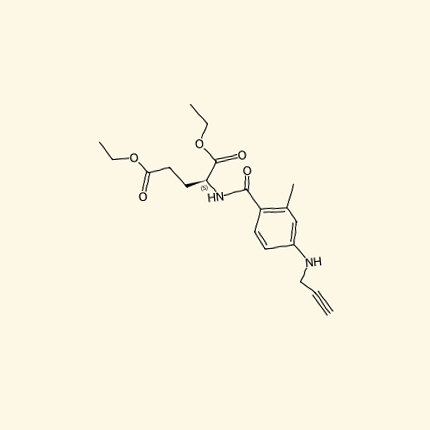 C#CCNc1ccc(C(=O)N[C@@H](CCC(=O)OCC)C(=O)OCC)c(C)c1